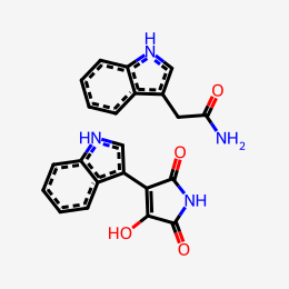 NC(=O)Cc1c[nH]c2ccccc12.O=C1NC(=O)C(c2c[nH]c3ccccc23)=C1O